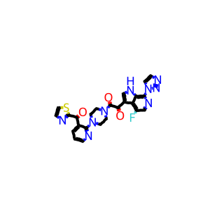 O=C(c1nccs1)c1cccnc1N1CCN(C(=O)C(=O)c2c[nH]c3c(-n4ccnn4)ncc(F)c23)CC1